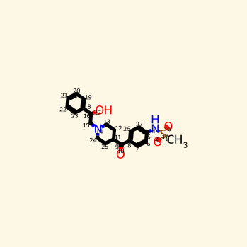 CS(=O)(=O)Nc1ccc(C(=O)C2CCN(CC(O)c3ccccc3)CC2)cc1